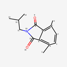 Cc1ccc(C)c2c1C(=O)N(CC(C)C)C2=O